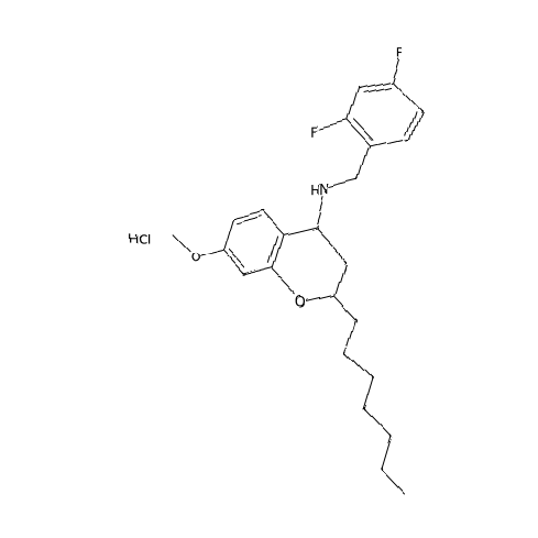 CCCCCCCC1CC(NCc2ccc(F)cc2F)c2ccc(OC)cc2O1.Cl